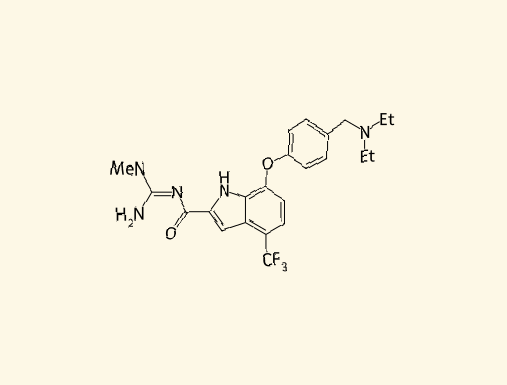 CCN(CC)Cc1ccc(Oc2ccc(C(F)(F)F)c3cc(C(=O)N=C(N)NC)[nH]c23)cc1